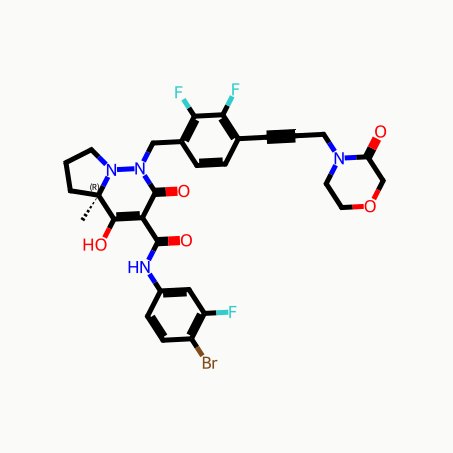 C[C@]12CCCN1N(Cc1ccc(C#CCN3CCOCC3=O)c(F)c1F)C(=O)C(C(=O)Nc1ccc(Br)c(F)c1)=C2O